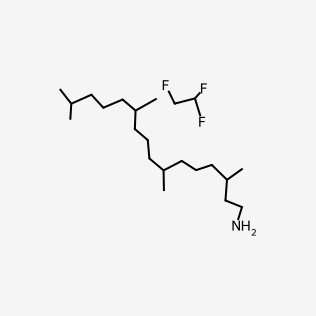 CC(C)CCCC(C)CCCC(C)CCCC(C)CCN.FCC(F)F